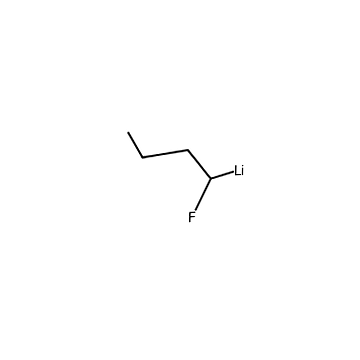 [Li][CH](F)CCC